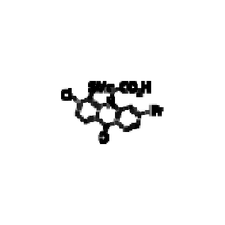 CSc1c(Cl)ccc2c(=O)c3ccc(C(C)C)cc3n(CC(=O)O)c12